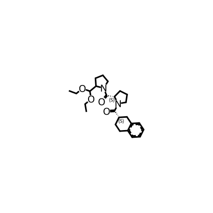 CCOC(OCC)C1CCCN1C(=O)[C@@H]1CCCN1C(=O)[C@H]1CCc2ccccc2C1